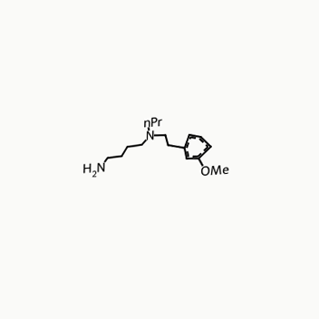 CCCN(CCCCN)CCc1cccc(OC)c1